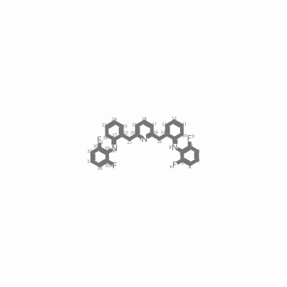 Fc1cccc(F)c1N=C1CC=CC=C1Cc1cccc(CC2=CC=CCC2=Nc2c(F)cccc2F)n1